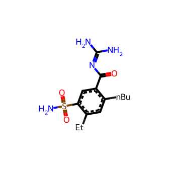 CCCCc1cc(CC)c(S(N)(=O)=O)cc1C(=O)N=C(N)N